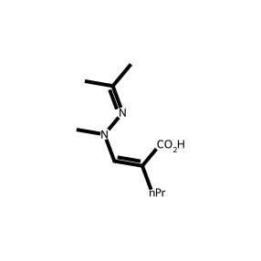 CCCC(=CN(C)N=C(C)C)C(=O)O